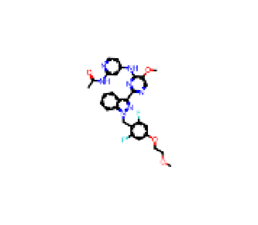 COCCOc1cc(F)c(Cn2nc(-c3ncc(OC)c(Nc4ccnc(NC(C)=O)c4)n3)c3ccccc32)c(F)c1